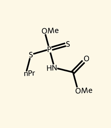 CCCSP(=S)(NC(=O)OC)OC